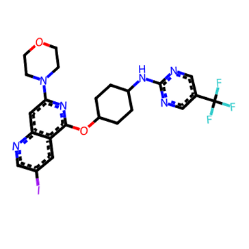 FC(F)(F)c1cnc(NC2CCC(Oc3nc(N4CCOCC4)cc4ncc(I)cc34)CC2)nc1